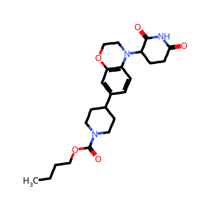 CCCCOC(=O)N1CCC(c2ccc3c(c2)OCCN3C2CCC(=O)NC2=O)CC1